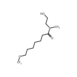 CN(CCO)C(=O)CCCCCCOC(F)(F)F